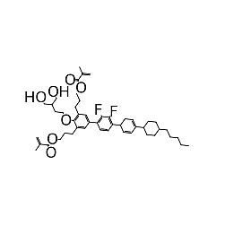 C=C(C)C(=O)OCCCc1cc(-c2ccc(C3C=CC(C4CCC(CCCCC)CC4)=CC3)c(F)c2F)cc(CCCOC(=O)C(=C)C)c1OCCC(CO)CO